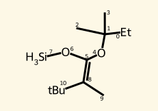 CCC(C)(C)OC(O[SiH3])=C(C)C(C)(C)C